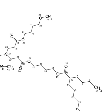 CCCCCCC(CCCC)C(=O)OCCCCOC(=O)CCN(CCC(=O)OCCCCOC)Cc1nccn1C